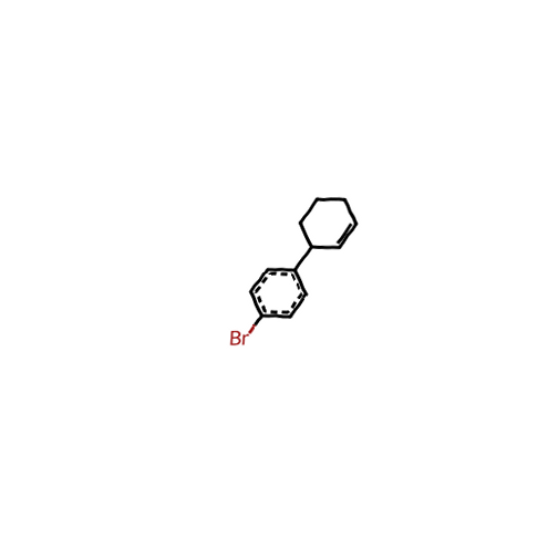 Brc1ccc(C2C=CCCC2)cc1